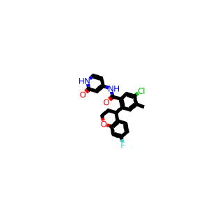 Cc1cc(C2CCOc3cc(F)ccc32)c(C(=O)Nc2cc[nH]c(=O)c2)cc1Cl